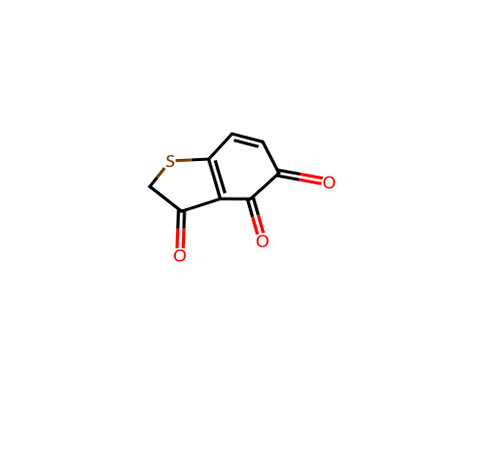 O=C1C=CC2=C(C(=O)CS2)C1=O